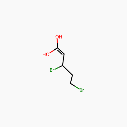 OC(O)=CC(Br)CCBr